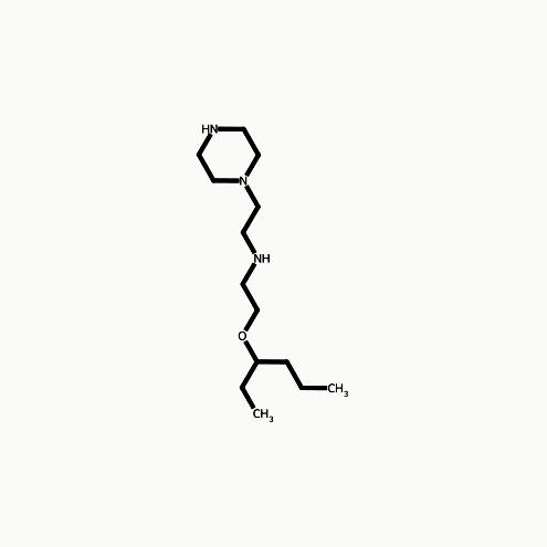 CCCC(CC)OCCNCCN1CCNCC1